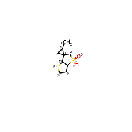 CC1CC12CS(=O)(=O)C1CCSC12